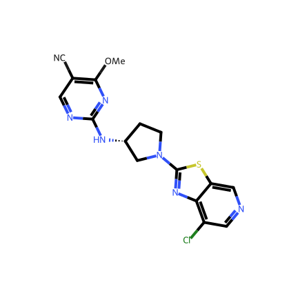 COc1nc(N[C@@H]2CCN(c3nc4c(Cl)cncc4s3)C2)ncc1C#N